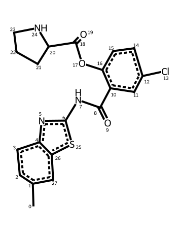 Cc1ccc2nc(NC(=O)c3cc(Cl)ccc3OC(=O)C3CCCN3)sc2c1